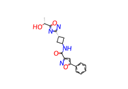 C[C@@H](O)c1nc([C@H]2C[C@H](NC(=O)c3cc(-c4ccccc4)on3)C2)no1